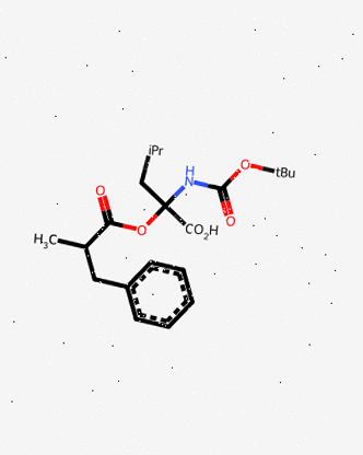 CC(C)CC(NC(=O)OC(C)(C)C)(OC(=O)C(C)Cc1ccccc1)C(=O)O